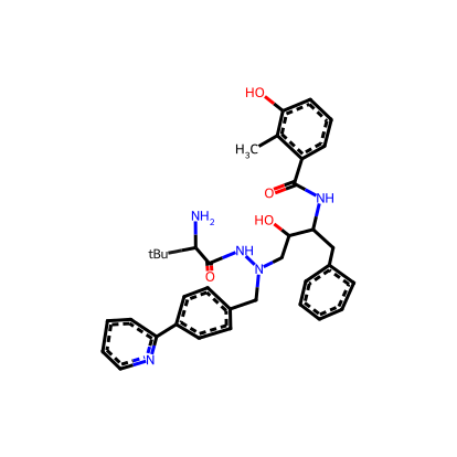 Cc1c(O)cccc1C(=O)NC(Cc1ccccc1)C(O)CN(Cc1ccc(-c2ccccn2)cc1)NC(=O)C(N)C(C)(C)C